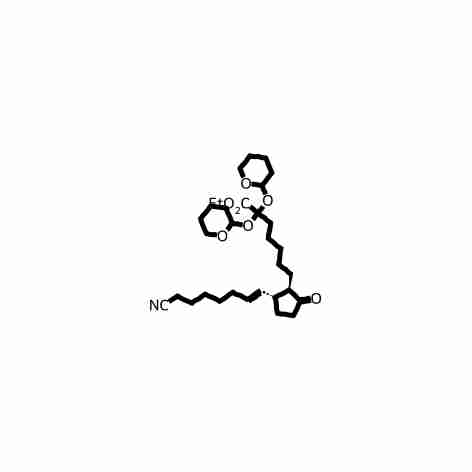 CCOC(=O)C(CCCCC[C@H]1C(=O)CC[C@@H]1/C=C/CCCCCC#N)(OC1CCCCO1)OC1CCCCO1